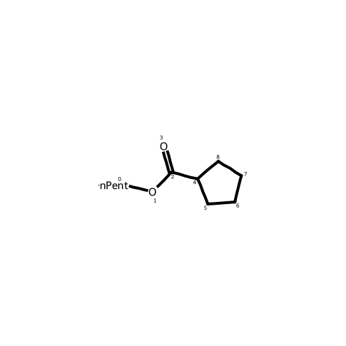 CCCC[CH]OC(=O)C1CCCC1